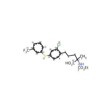 CCOC(=O)NC(C)(CCCc1ccc(Sc2cccc(C(F)(F)F)c2)cc1Cl)C(=O)O